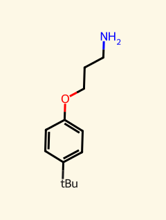 CC(C)(C)c1ccc(OCCCN)cc1